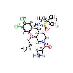 C=CCOc1cc(Cl)c(Cl)cc1[C@H](N[S@@+]([O-])C(C)(C)C)C1CCN(C(=O)C2CNC2)CC1